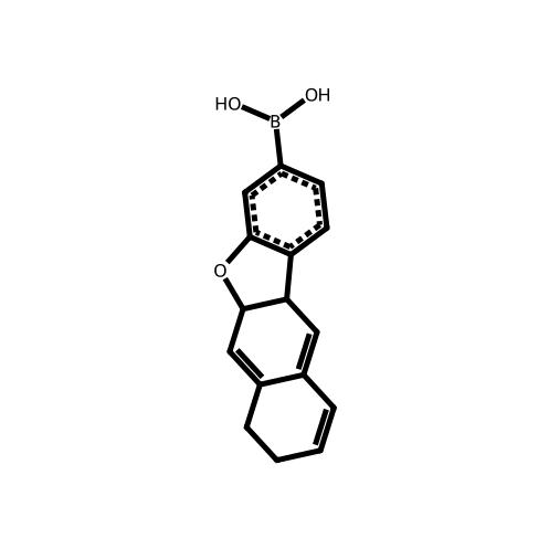 OB(O)c1ccc2c(c1)OC1C=C3CCC=CC3=CC21